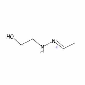 C/C=N/NCCO